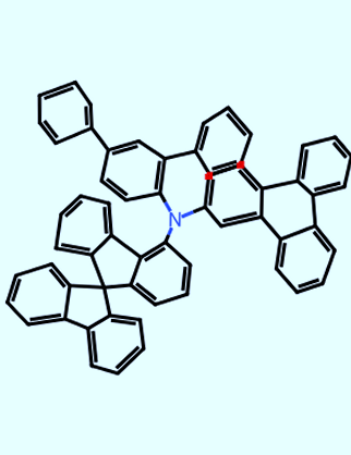 c1ccc(-c2ccc(N(c3ccc4c5ccccc5c5ccccc5c4c3)c3cccc4c3-c3ccccc3C43c4ccccc4-c4ccccc43)c(-c3ccccc3)c2)cc1